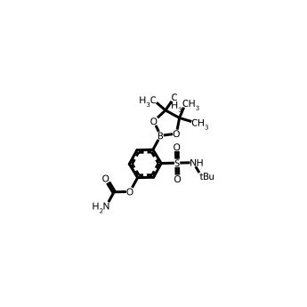 CC(C)(C)NS(=O)(=O)c1cc(OC(N)=O)ccc1B1OC(C)(C)C(C)(C)O1